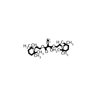 CC1(C)CCCC(C)(C)N1CCOC(=O)C(=[N+]=[N-])C(=O)OCCN1C(C)(C)CCCC1(C)C